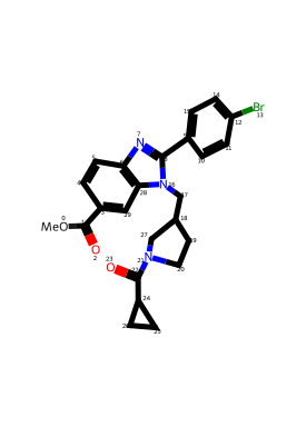 COC(=O)c1ccc2nc(-c3ccc(Br)cc3)n(CC3CCN(C(=O)C4CC4)C3)c2c1